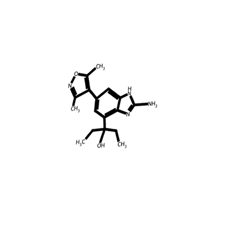 CCC(O)(CC)c1cc(-c2c(C)noc2C)cc2[nH]c(N)nc12